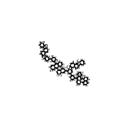 C1=c2c(oc3ccc4c(ccc5c6ccccc6sc54)c23)=C(c2ccc3c(-c4c5ccccc5c(-c5cccc(-c6ccc7sc8ccc9c(ccc%10oc%11ccccc%11c%109)c8c7c6)c5)c5ccccc45)cccc3c2)CC1c1cccc(-c2c3ccccc3c(-c3cccc4ccccc34)c3ccccc23)c1